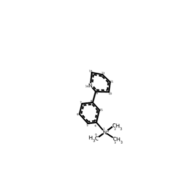 C[N+](C)(C)c1[c]ccc(-c2ccccn2)c1